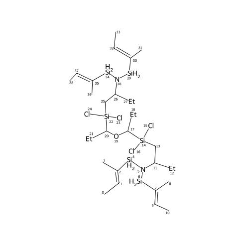 CC=C(C)[SiH2]N([SiH2]C(C)=CC)C(CC)C[Si](Cl)(Cl)C(CC)OC(CC)[Si](Cl)(Cl)CC(CC)N([SiH2]C(C)=CC)[SiH2]C(C)=CC